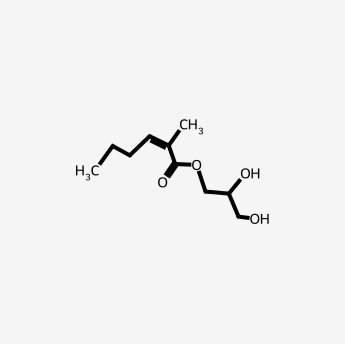 CCCC=C(C)C(=O)OCC(O)CO